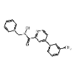 Cc1cccc(-c2ccnc(C(=O)N(O)Cc3ccccc3)c2)c1